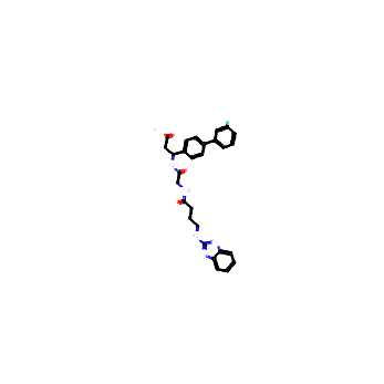 O=C(O)CC(NC(=O)CNC(=O)CCCNc1nc2ccccc2[nH]1)c1ccc(-c2cccc(F)c2)cc1